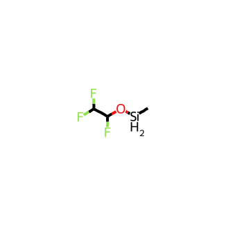 C[SiH2]OC(F)C(F)F